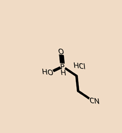 Cl.N#CCC[PH](=O)O